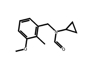 COc1cccc(CN(C=O)C2CC2)c1C